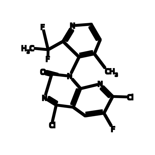 Cc1ccnc(C(C)(F)F)c1-n1c(=O)nc(Cl)c2cc(F)c(Cl)nc21